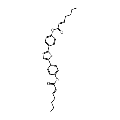 CCCCC=CC(=O)Oc1ccc(-c2ccc(-c3ccc(OC(=O)C=CCCCC)cc3)s2)cc1